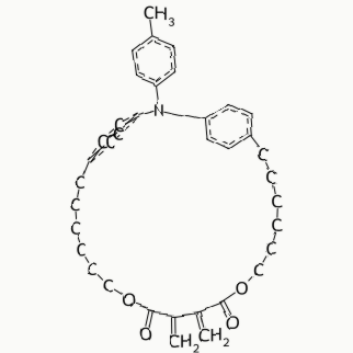 C=C1C(=C)C(=O)OCCCCCCc2ccc(cc2)N(c2ccc(C)cc2)c2ccc(cc2)CCCCCCOC1=O